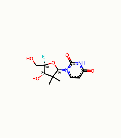 CC1(C)[C@H](n2ccc(=O)[nH]c2=O)O[C@](F)(CO)[C@H]1O